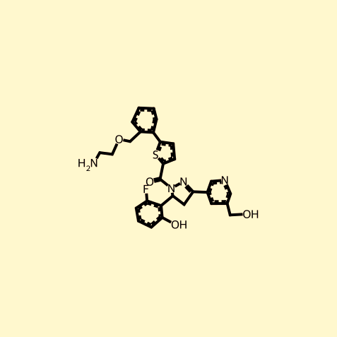 NCCOCc1ccccc1-c1ccc(C(=O)N2N=C(c3cncc(CO)c3)CC2c2c(O)cccc2F)s1